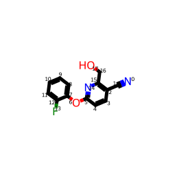 N#Cc1ccc(Oc2ccccc2F)nc1CO